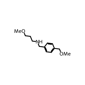 COCCCNCc1ccc(COC)cc1